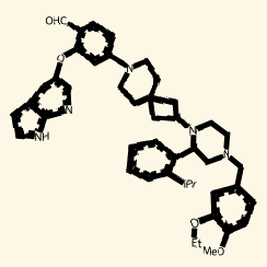 CCOc1cc(CN2CCN(C3CC4(CCN(c5ccc(C=O)c(Oc6cnc7[nH]ccc7c6)c5)CC4)C3)C(c3ccccc3C(C)C)C2)ccc1OC